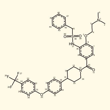 CN(C)CCOc1ccc(C(=O)N2CCC(c3ccc(Oc4ccc(C(F)(F)F)nn4)cc3)CC2)cc1NS(=O)(=O)Cc1ccccc1